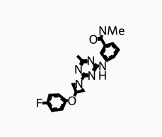 CNC(=O)c1cccc(Nc2nc(C)nc(N3CC(Oc4ccc(F)cc4)C3)n2)c1